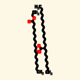 CCCCCCCCCCCCCCC(CCCCCCCC)C(=O)O.CCCCCCCCCCCCCCCCCC(=O)OCC